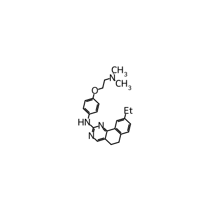 CCc1ccc2c(c1)-c1nc(Nc3ccc(OCCN(C)C)cc3)ncc1CC2